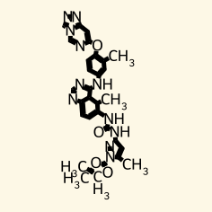 Cc1cc(NC2=NC=NC3=CC=C(NC(=O)Nc4cc(C)n(C(=O)OC(C)(C)C)n4)C(C)C32)ccc1Oc1cc2nncn2cn1